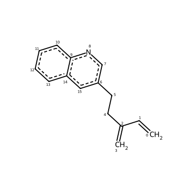 C=CC(=C)CCc1cnc2ccccc2c1